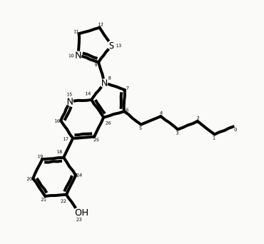 CCCCCCc1cn(C2=NCCS2)c2ncc(-c3cccc(O)c3)cc12